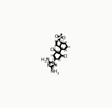 CS(=O)(=O)n1ccc2c(-c3c(Cl)cc(-n4nc(N)nc4N)cc3Cl)cccc21